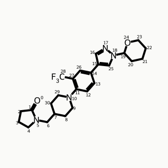 O=C1CCCN1CC1CCN(c2ccc(-c3cnn(C4CCCCO4)c3)cc2C(F)(F)F)CC1